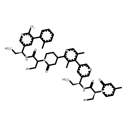 Cc1ccn([C@@H](CC(C)C)C(=O)N[C@@H](CC(=O)O)c2cncc(-c3c(C)cnc(C4CCN(C(CC(C)C)C(=O)N[C@@H](CC(=O)O)c5cnc(C(F)(F)F)c(-c6ccccc6C)c5)C(=O)C4)c3C)c2)c(=O)c1